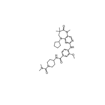 COc1cc(C(=O)NC2CCN(C(=O)N(C)C)CC2)ccc1Nc1ncc2c(n1)N(C1CCCC1)CC(C)(C)C(=O)N2C